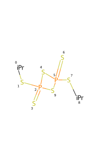 CC(C)SP1(=S)SP(=S)(SC(C)C)S1